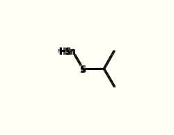 CC(C)[S][SnH]